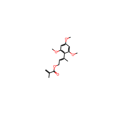 C=C(C)C(=O)OC/C=C(\C)c1c(OC)cc(OC)cc1OC